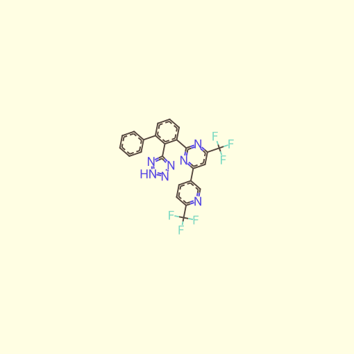 FC(F)(F)c1ccc(-c2cc(C(F)(F)F)nc(-c3cccc(-c4ccccc4)c3-c3nn[nH]n3)n2)cn1